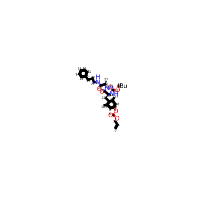 C=CCOC(=O)Oc1cc(C)c(C[C@H](NC(=O)OC(C)(C)C)C(=O)N[C@H](C)C(=O)NCCCc2ccccc2)c(C)c1